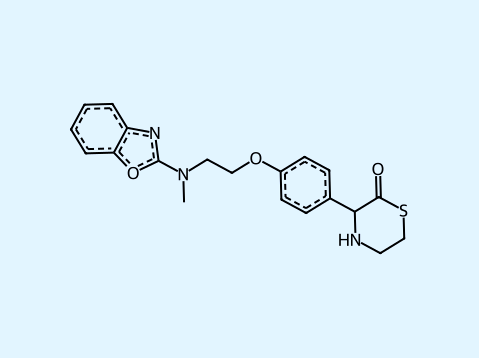 CN(CCOc1ccc(C2NCCSC2=O)cc1)c1nc2ccccc2o1